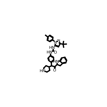 Cc1ccc(-n2nc(C(C)(C)C)cc2NC(=O)Nc2ccc(C(C(=O)C3Cc4ccccc4N3)C3CCNCC3)cc2)cc1